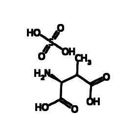 CC(C(=O)O)[C@H](N)C(=O)O.O=S(=O)(O)O